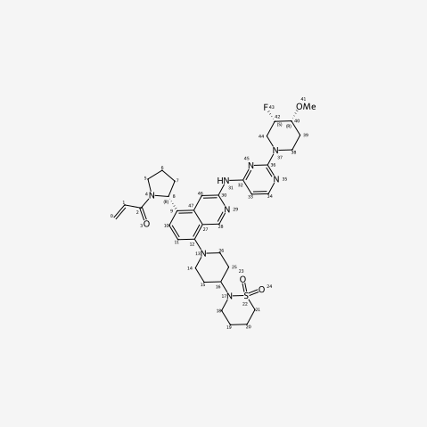 C=CC(=O)N1CCC[C@@H]1c1ccc(N2CCC(N3CCCCS3(=O)=O)CC2)c2cnc(Nc3ccnc(N4CC[C@@H](OC)[C@@H](F)C4)n3)cc12